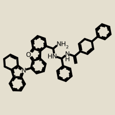 C=C(NC(NC(N)c1cccc2oc3c(-n4c5c(c6ccccc64)CCC=C5)cccc3c12)c1ccccc1)C1=CCC(c2ccccc2)C=C1